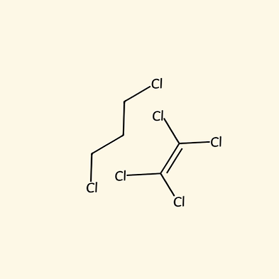 ClC(Cl)=C(Cl)Cl.ClCCCCl